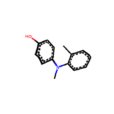 Cc1ccccc1N(C)c1ccc(O)cc1